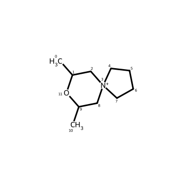 CC1C[N+]2(CCCC2)CC(C)O1